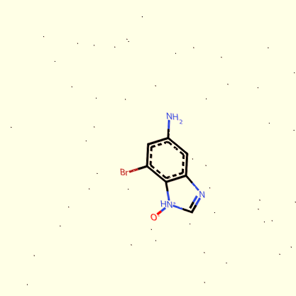 Nc1cc(Br)c2c(c1)N=C[NH+]2[O-]